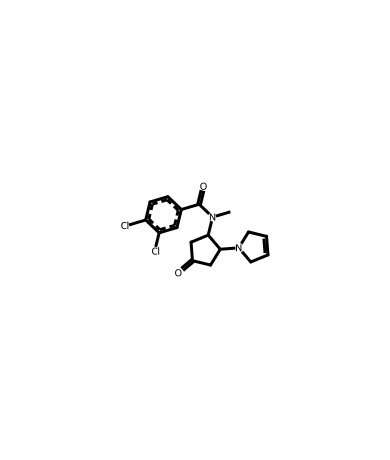 CN(C(=O)c1ccc(Cl)c(Cl)c1)C1CC(=O)CC1N1CC=CC1